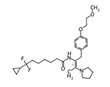 COCCOc1ccc(C/C(NC(=O)CCCCCC(F)(F)C2CC2)=C(/C)N2CCCC2)cc1